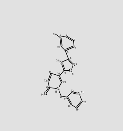 Cc1cccc(-c2noc(-c3ccc(=O)n(Cc4cccnc4)c3)n2)c1